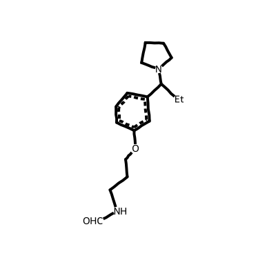 CCC(c1cccc(OCCCNC=O)c1)N1CCCC1